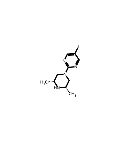 C[C@@H]1CN(c2ncc(I)cn2)C[C@H](C)N1